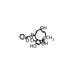 C[C@@H]1C/C=C/[C@H](O)C/C=C/C(=N/OCC(=O)N2CCCCC2)Cc2c(Cl)c(O)cc(O)c2C(=O)O1